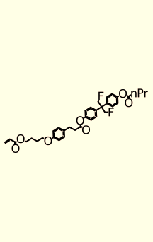 C=CC(=O)OCCCCOc1ccc(CCC(=O)Oc2ccc(C(CF)(CF)c3ccc(OC(=O)CCC)cc3)cc2)cc1